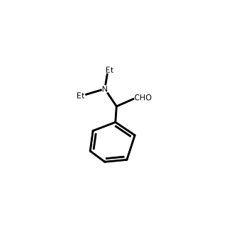 CCN(CC)C(C=O)c1ccccc1